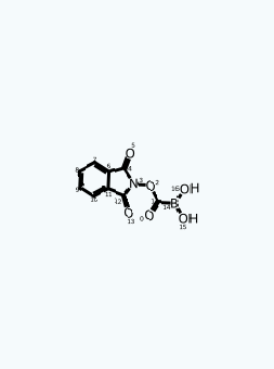 O=C(ON1C(=O)c2ccccc2C1=O)B(O)O